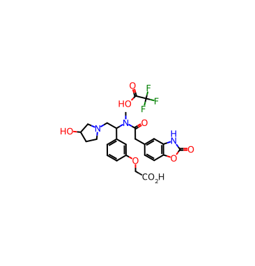 CN(C(=O)Cc1ccc2oc(=O)[nH]c2c1)C(CN1CCC(O)C1)c1cccc(OCC(=O)O)c1.O=C(O)C(F)(F)F